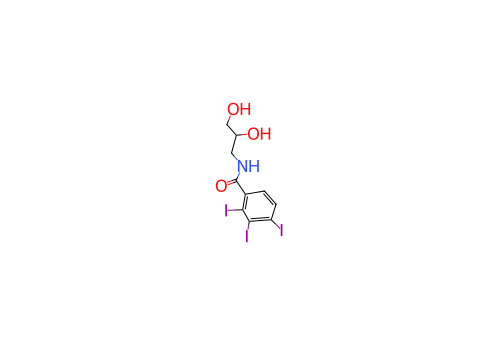 O=C(NCC(O)CO)c1ccc(I)c(I)c1I